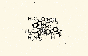 CCC(C)[C@H](NC(=O)[C@H](CC)c1ccccc1)C(=O)N[C@]1(C(=O)N[C@H](C(N)=S)C(C)CC)CCc2[nH]c3c(C(F)(F)F)cccc3c2C1